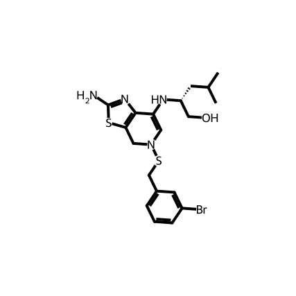 CC(C)C[C@H](CO)NC1=CN(SCc2cccc(Br)c2)Cc2sc(N)nc21